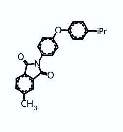 Cc1ccc2c(c1)C(=O)N(c1ccc(Oc3ccc(C(C)C)cc3)cc1)C2=O